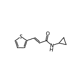 O=C(C=Cc1cccs1)NC1CC1